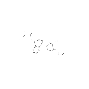 C=C(C)C(=O)Sc1ccc(-c2ccc(SC(=O)C(=C)C)c3ccccc23)cc1C